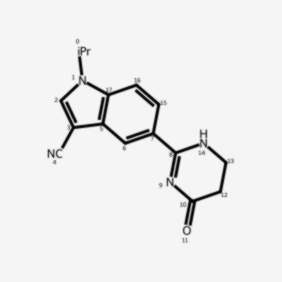 CC(C)n1cc(C#N)c2cc(C3=NC(=O)CCN3)ccc21